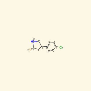 S=C1C[C@H](c2ccc(Cl)cc2)CN1